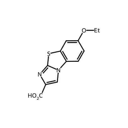 CCOc1ccc2c(c1)sc1nc(C(=O)O)cn12